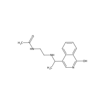 CC(=O)NCCNC(C)c1cnc(O)c2ccccc12